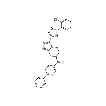 O=C(c1ccc(-c2ccccc2)cc1)N1CCn2c(nnc2-c2csc(-c3ccccc3Cl)n2)C1